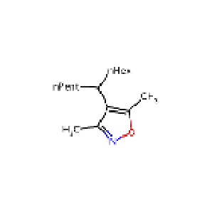 CCCCCCC(CCCCC)c1c(C)noc1C